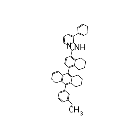 CCc1cccc(-c2c3c(c(-c4ccc(C5NC6C(c7ccccc7)=CC=CN65)c5c4CCCC5)c4c2CCCC4)C=CCC3)c1